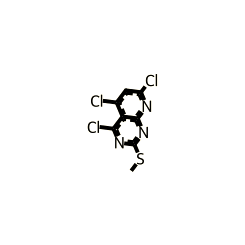 CSc1nc(Cl)c2c(Cl)cc(Cl)nc2n1